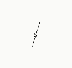 CCCCCCCCCCCCCCCCSCCCCCCCCCCCCCC